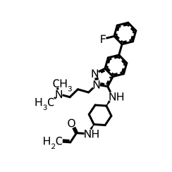 C=CC(=O)N[C@H]1CC[C@@H](Nc2c3ccc(-c4ccccc4F)cc3nn2CCCN(C)C)CC1